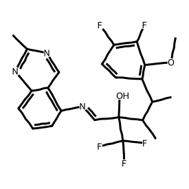 COc1c(C(C)C(C)C(O)(C=Nc2cccc3nc(C)ncc23)C(F)(F)F)ccc(F)c1F